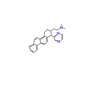 CN(C)CCC1CCc2c(ccc3c2ccc2ccccc23)C1c1cnccn1